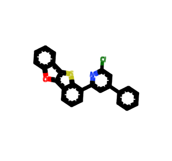 Clc1cc(-c2ccccc2)cc(-c2cccc3c2sc2c4ccccc4oc32)n1